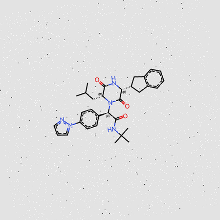 CC(C)C[C@@H]1C(=O)N[C@H](C2Cc3ccccc3C2)C(=O)N1[C@@H](C(=O)NC(C)(C)C)c1ccc(-n2cccn2)cc1